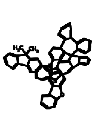 CC1(C)c2ccccc2-c2ccc(N(c3ccc4c(c3)C3(c5ccccc5-c5ccccc5-4)c4ccccc4-c4cc5sc6ccccc6c5cc43)c3ccc4oc5ccccc5c4c3)cc21